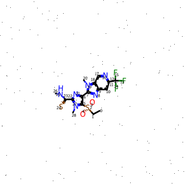 CCS(=O)(=O)c1c(-c2nc3cc(C(F)(F)F)ncc3n2C)nc(C(=S)NC)n1C